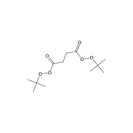 CC(C)(C)OOC(=O)CCC(=O)OOC(C)(C)C